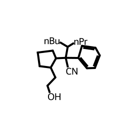 CCCCC(CCC)C(C#N)(c1ccccc1)C1CCCC1CCO